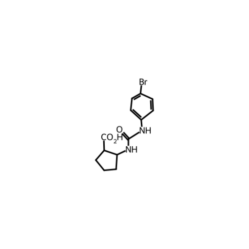 O=C(Nc1ccc(Br)cc1)NC1CCCC1C(=O)O